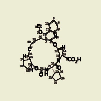 CCOc1c2c(nc3ccccc13)O[C@@H]1C[C@@H](C(=O)O)N(C1)C(=O)[C@H](C1CCCC1)NC(=O)O[C@@H]1CCC[C@H]1CC/C=C\C2